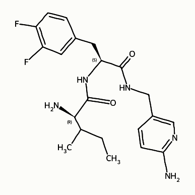 CCC(C)[C@@H](N)C(=O)N[C@@H](Cc1ccc(F)c(F)c1)C(=O)NCc1ccc(N)nc1